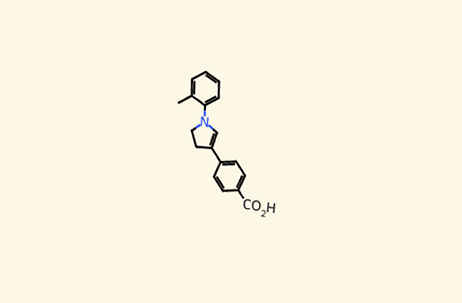 Cc1ccccc1N1C=C(c2ccc(C(=O)O)cc2)CC1